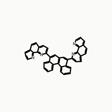 c1cnc2c(c1)ccc1ccc(-c3cc4cc(-c5ccc6ccc7cccnc7c6n5)c5ccccc5c4c4ccccc34)nc12